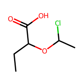 CCC(OC(C)Cl)C(=O)O